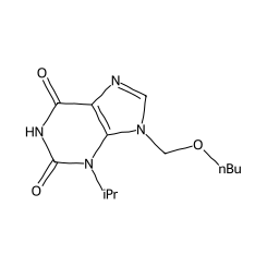 CCCCOCn1cnc2c(=O)[nH]c(=O)n(C(C)C)c21